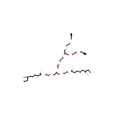 C#CCOCCOCC(COCCOCC#C)OCCOCCOC(COCCOC(=O)CCCCC1CCSS1)COCCOC(=O)CCCCC1CCSS1